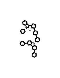 c1ccc(-c2ccc3c(c2)c2cc(-c4ccccc4)ccc2n3-c2cccc(-c3ccc(-c4cccc5c4oc4c5c5ccccc5n4-c4ccccc4)cc3)c2)cc1